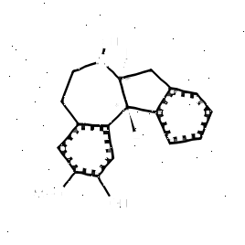 COc1cc2c(cc1O)[C@H]1c3ccccc3C[C@@H]1N(C)CC2